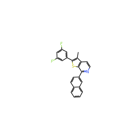 Cc1c(-c2cc(F)cc(F)c2)sc2c(-c3ccc4ccccc4c3)nccc12